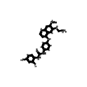 COc1cc2nccc(Oc3ccc(NC(=O)Nc4ccc(F)cc4F)cc3)c2cc1OCN